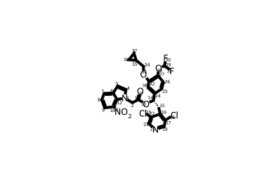 O=C(Cn1ccc2cccc([N+](=O)[O-])c21)O[C@@H](Cc1c(Cl)cncc1Cl)c1ccc(OC(F)F)c(OCC2CC2)c1